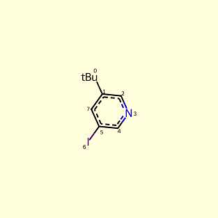 CC(C)(C)c1cncc(I)c1